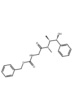 C[C@@H]([C@@H](O)c1ccccc1)N(C)C(=O)CNC(=O)OCc1ccccc1